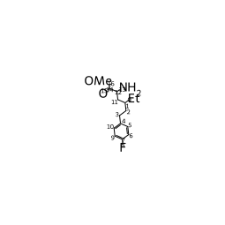 CCC(CCc1ccc(F)cc1)CC(N)C(=O)OC